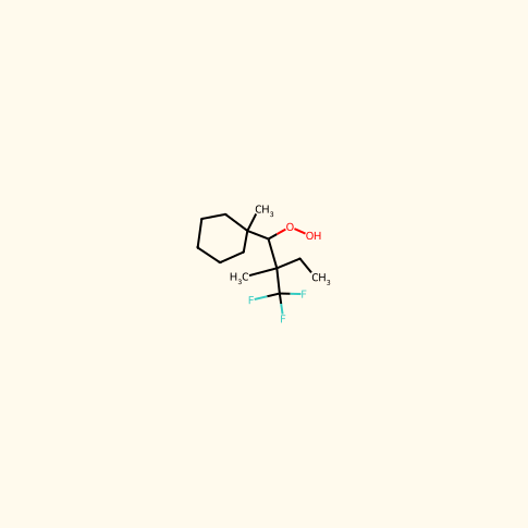 CCC(C)(C(OO)C1(C)CCCCC1)C(F)(F)F